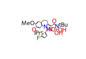 COc1cc2c(cc1OC(C)C)-n1c(-c3ccc(F)s3)nc(C(=O)N(C(C)(C)C)C(O)(O)O)c1CC2